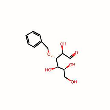 O=C[C@H](O)[C@@H](OCc1ccccc1)[C@H](O)[C@@H](O)CO